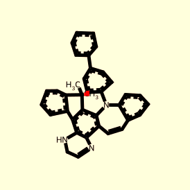 CC1(C)c2ccccc2-c2c3c(c4c(c21)N(c1ccc(-c2ccccc2)cc1)c1ccccc1C=C4)N=CCN3